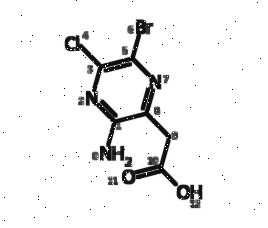 Nc1nc(Cl)c(Br)nc1CC(=O)O